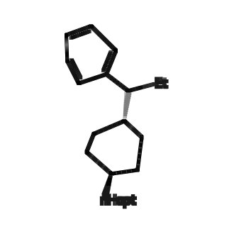 CCCCCCC[C@H]1CC[C@H](C(CC)c2ccccc2)CC1